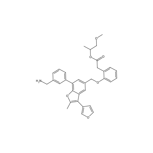 COCC(C)OC(=O)Cc1ccccc1OCc1cc(-c2cccc(CN)c2)c2oc(C)c(-c3ccoc3)c2c1